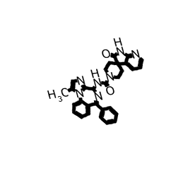 Cc1cnc2n1-c1ccccc1C(c1ccccc1)=NC2NC(=O)N1CCC2(CC1)C(=O)Nc1ncccc12